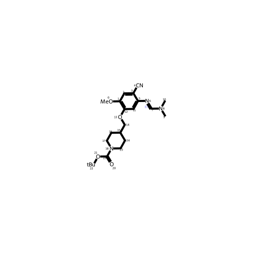 COc1cc(C#N)c(/N=C/N(C)C)cc1OCC1CCN(C(=O)OC(C)(C)C)CC1